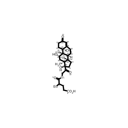 CCC(CCC(=O)O)C(=O)OCC(=O)[C@@]1(O)CC[C@H]2[C@@H]3CCC4=CC(=O)CC[C@]4(C)[C@H]3[C@@H](O)C[C@@]21C